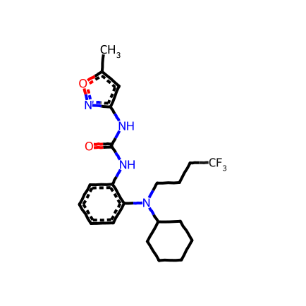 Cc1cc(NC(=O)Nc2ccccc2N(CCCC(F)(F)F)C2CCCCC2)no1